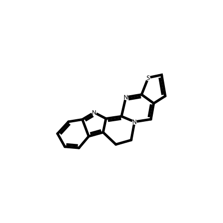 C1=c2ccsc2=NC2=C3N=c4ccccc4=C3CCN12